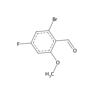 COc1cc(F)cc(Br)c1C=O